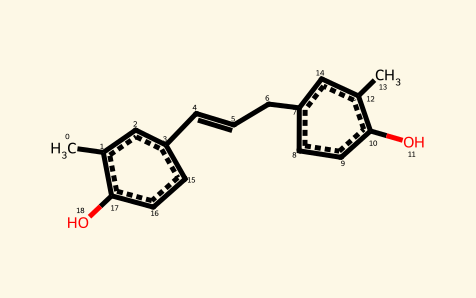 Cc1cc(C=CCc2ccc(O)c(C)c2)ccc1O